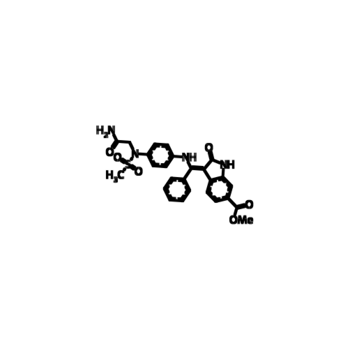 COC(=O)c1ccc2c(c1)NC(=O)/C2=C(\Nc1ccc(N(CC(N)=O)S(C)(=O)=O)cc1)c1ccccc1